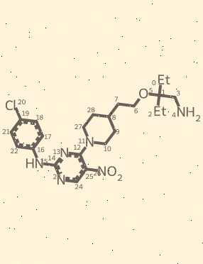 CCC(CC)(CN)OCCC1CCN(c2nc(Nc3ccc(Cl)cc3)ncc2[N+](=O)[O-])CC1